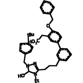 CCN1C(CCCc2cccc(-c3ccc(OCc4ccccc4)c(CC(=O)O)c3)c2)=NN(Cc2ccc(C(C)(C)C)cc2)C1O